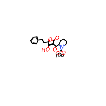 CC(C)(C)OC(=O)N1CCCCC1C(=O)C1=C(O)C(CCc2ccccc2)OC1=O